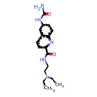 CCN(CC)CCNC(=O)c1ccc2cc(NC(N)=O)ccc2n1